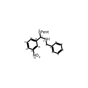 CCCCCC(NCc1ccccc1)c1cccc([N+](=O)[O-])c1